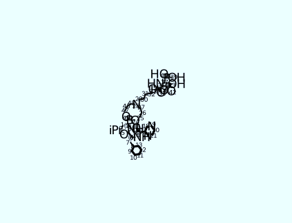 CC(C)C[C@@H](NC(=O)[C@@H](Cc1ccccc1)NC(=O)c1cnccn1)B1OCCCN(CCCCOC(=O)NC(P(O)O)P(=O)(O)O)CCCO1